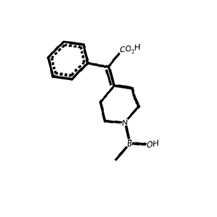 CB(O)N1CCC(=C(C(=O)O)c2ccccc2)CC1